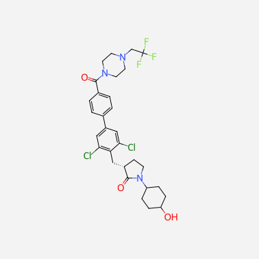 O=C(c1ccc(-c2cc(Cl)c(C[C@@H]3CCN(C4CCC(O)CC4)C3=O)c(Cl)c2)cc1)N1CCN(CC(F)(F)F)CC1